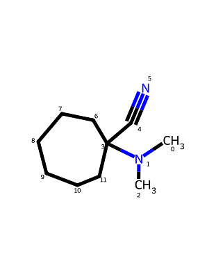 CN(C)C1(C#N)CCCCCC1